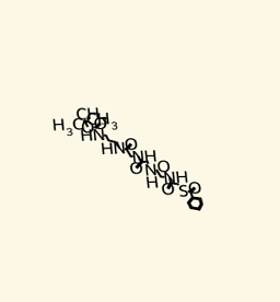 CC(C)(C)OC(=O)NCCCNC(=O)CNC(=O)CNC(=O)CNC(=O)CSC(=O)c1ccccc1